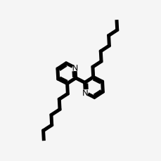 CCCCCCCc1cccnc1-c1ncccc1CCCCCCC